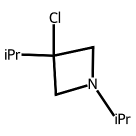 CC(C)N1CC(Cl)(C(C)C)C1